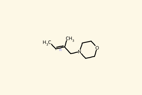 C/[C]=C(\C)CN1CCOCC1